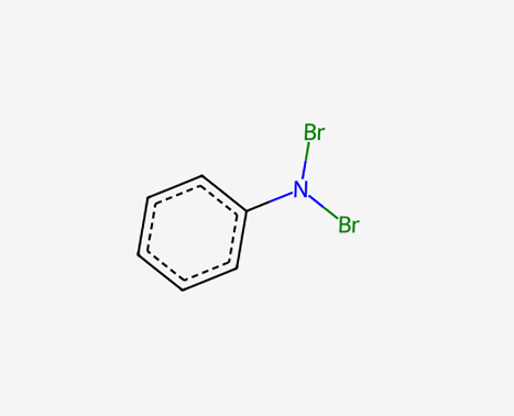 BrN(Br)c1ccccc1